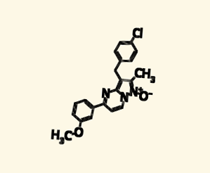 COc1cccc(-c2ccn3c(n2)c(Cc2ccc(Cl)cc2)c(C)[n+]3[O-])c1